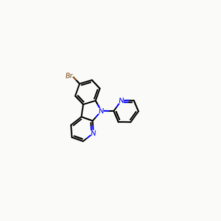 Brc1ccc2c(c1)c1cccnc1n2-c1ccccn1